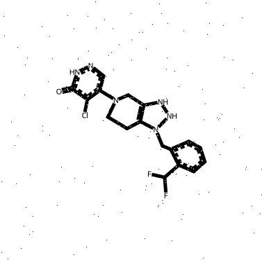 O=c1[nH]ncc(N2CCC3=C(C2)NNN3Cc2ccccc2C(F)F)c1Cl